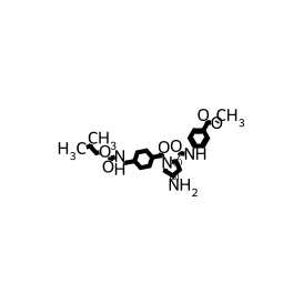 COC(=O)c1ccc(NC(=O)[C@@H]2C[C@H](N)CN2C(=O)C2CCC(CNC(=O)OCC(C)C)CC2)cc1